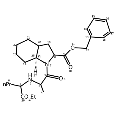 CCCC(NC(C)C(=O)N1C(C(=O)OCc2ccccc2)CC2CCCC[C@@H]21)C(=O)OCC